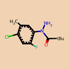 Cc1cc(N(N)C(=O)C(C)(C)C)c(F)cc1Cl